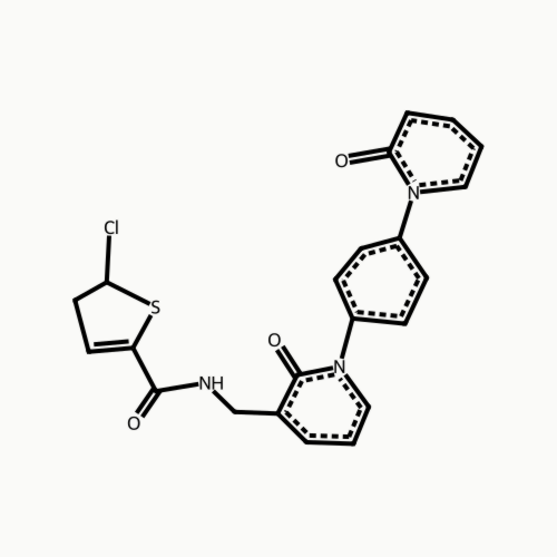 O=C(NCc1cccn(-c2ccc(-n3ccccc3=O)cc2)c1=O)C1=CCC(Cl)S1